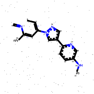 C=N/C(=C\C(=C/C)n1cc(-c2ccc(NC(C)C)cn2)cn1)CCC